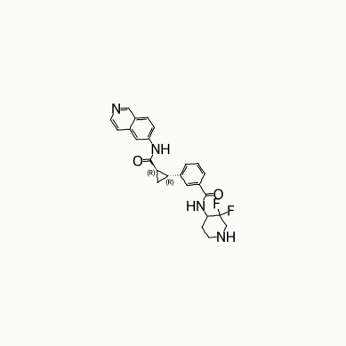 O=C(NC1CCNCC1(F)F)c1cccc([C@@H]2C[C@H]2C(=O)Nc2ccc3cnccc3c2)c1